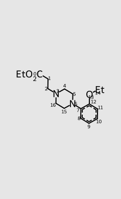 CCOC(=O)CCN1CCN(c2ccccc2OCC)CC1